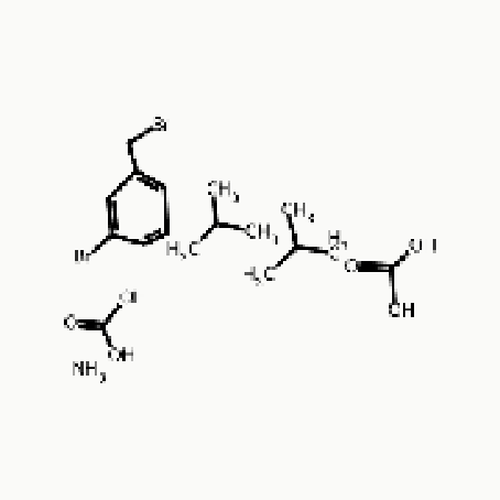 BrCc1cccc(Br)c1.CC(C)C.CC(C)C.N.O=C(O)O.O=C(O)O